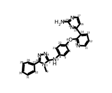 Cn1c(Nc2ccc(Oc3ncccc3-c3ccnc(N)n3)cc2)nnc1-c1ccccc1